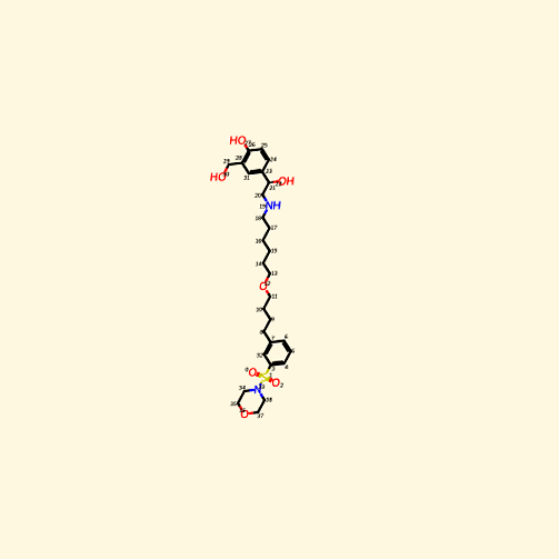 O=S(=O)(c1cccc(CCCCOCCCCCCNC[C@H](O)c2ccc(O)c(CO)c2)c1)N1CCOCC1